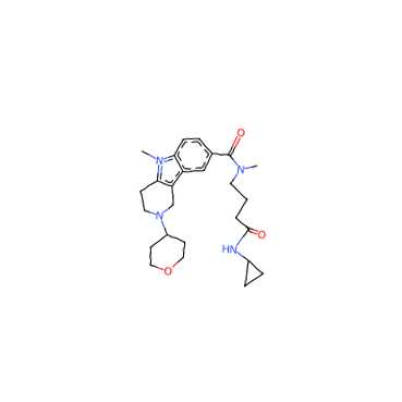 CN(CCCC(=O)NC1CC1)C(=O)c1ccc2c(c1)c1c(n2C)CCN(C2CCOCC2)C1